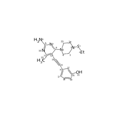 CCSN1CCN(c2nc(N)nc(C)c2C#Cc2cccc(O)c2)CC1